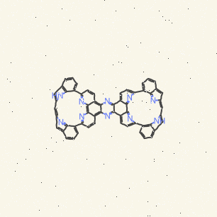 c1cc2cc3cc4cc5cccc(c6ccc7c(n6)c6nc(ccc6c6nc8c9ccc%10nc9c9nc(ccc9c8nc76)c6cccc7cc(cc8cc9cccc%10c9[nH]8)nc76)c(c1)c2n3)c5[nH]4